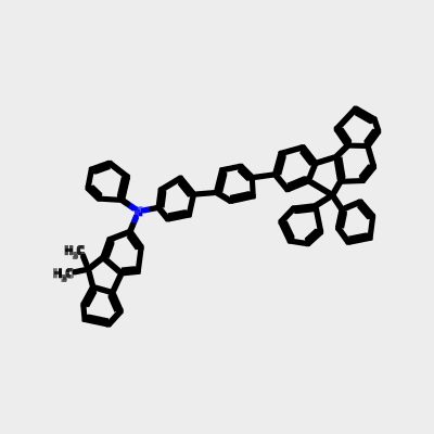 CC1(C)c2ccccc2-c2ccc(N(c3ccccc3)c3ccc(-c4ccc(-c5ccc6c(c5)C(c5ccccc5)(c5ccccc5)c5ccc7ccccc7c5-6)cc4)cc3)cc21